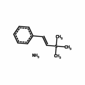 CS(C)(C)C=Cc1ccccc1.N